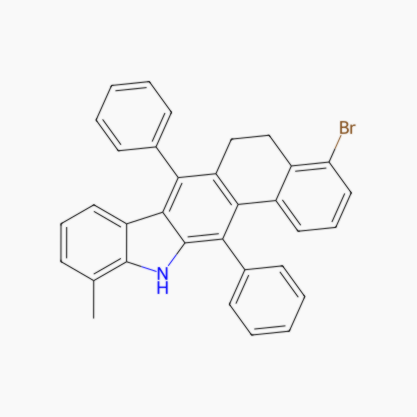 Cc1cccc2c1[nH]c1c(-c3ccccc3)c3c(c(-c4ccccc4)c12)CCc1c(Br)cccc1-3